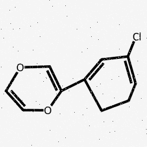 ClC1=CCCC(C2=COC=CO2)=C1